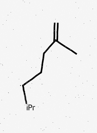 C=C(C)CC[CH]C(C)C